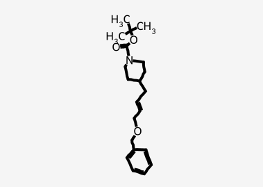 CC(C)(C)OC(=O)N1CCC(C/C=C/COCc2ccccc2)CC1